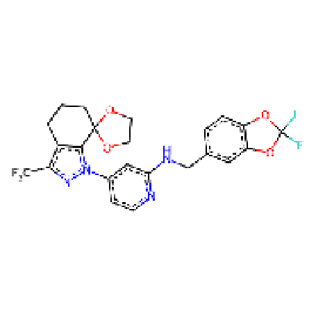 FC1(F)Oc2ccc(CNc3cc(-n4nc(C(F)(F)F)c5c4C4(CCC5)OCCO4)ccn3)cc2O1